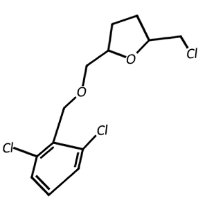 ClCC1CCC(COCc2c(Cl)cccc2Cl)O1